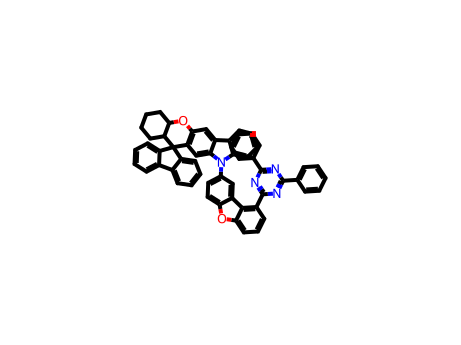 c1ccc(-c2nc(-c3ccccc3)nc(-c3cccc4oc5ccc(-n6c7ccccc7c7cc8c(cc76)C6(c7ccccc7-c7ccccc76)C6CCCCC6O8)cc5c34)n2)cc1